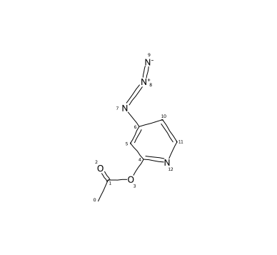 CC(=O)Oc1cc(N=[N+]=[N-])ccn1